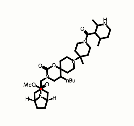 CCCCC1CN(CC2C[C@H]3CC[C@@H](C2)N3C(=O)OC)C(=O)OC12CCN(C1(C)CCN(C(=O)C3C(C)CCNC3C)CC1)CC2